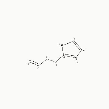 [CH]=CCCc1nccs1